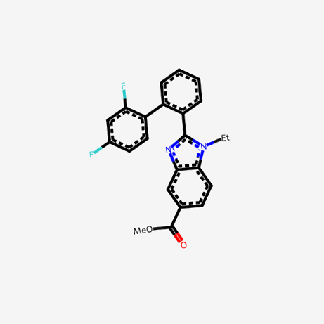 CCn1c(-c2ccccc2-c2ccc(F)cc2F)nc2cc(C(=O)OC)ccc21